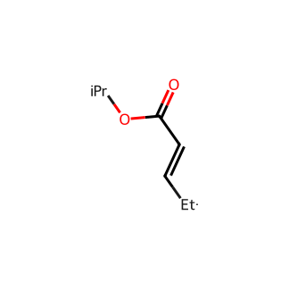 C[CH]C=CC(=O)OC(C)C